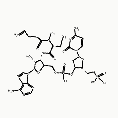 C=CCCC(=O)N(C)[C@@H](CO)C(=O)O[C@H]1[C@@H](O)[C@H](n2cnc3c(N)ncnc32)O[C@@H]1COP(=O)(O)OC1CC(n2ccc(N)nc2=O)O[C@@H]1COP(=O)(O)O